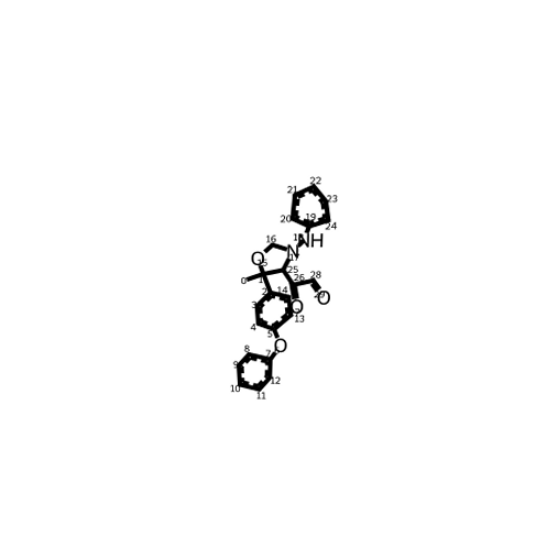 CC1(c2ccc(Oc3ccccc3)cc2)OCN(Nc2ccccc2)C1C(=O)C=O